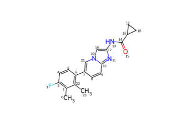 Cc1c(F)ccc(-c2ccc3nc(NC(=O)C4CC4)cn3c2)c1C